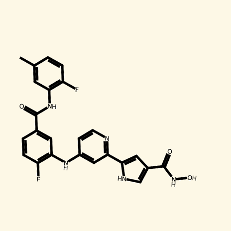 Cc1ccc(F)c(NC(=O)c2ccc(F)c(Nc3ccnc(-c4cc(C(=O)NO)c[nH]4)c3)c2)c1